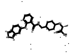 C[C@@H](OC1CCC(CNC(=O)c2cccnc2Oc2ccc3nsnc3c2)CC1)C(=O)O